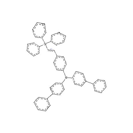 C(=C\[Si](c1ccccc1)(c1ccccc1)c1ccccc1)/c1ccc(N(c2ccc(-c3ccccc3)cc2)c2ccc(-c3ccccc3)cc2)cc1